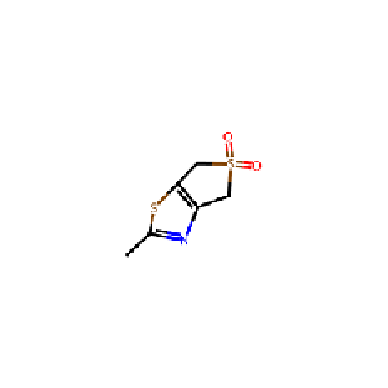 Cc1nc2c(s1)CS(=O)(=O)C2